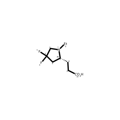 CCN1CC(F)(F)C[C@H]1CCC(=O)O